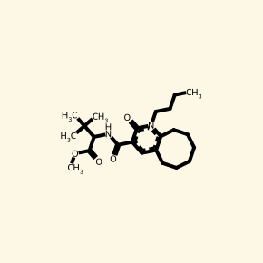 CCCCn1c2c(cc(C(=O)NC(C(=O)OC)C(C)(C)C)c1=O)CCCCCC2